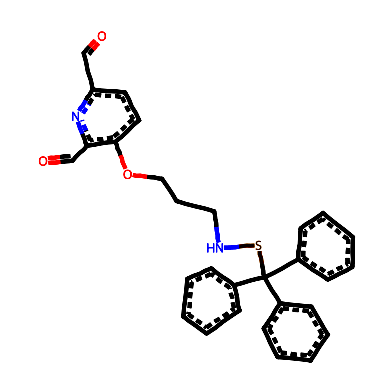 O=Cc1ccc(OCCCNSC(c2ccccc2)(c2ccccc2)c2ccccc2)c(C=O)n1